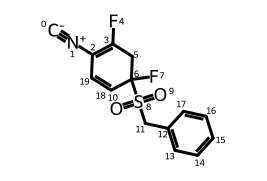 [C-]#[N+]C1=C(F)CC(F)(S(=O)(=O)Cc2ccccc2)C=C1